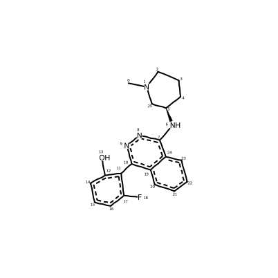 CN1CCC[C@@H](Nc2nnc(-c3c(O)cccc3F)c3ccccc23)C1